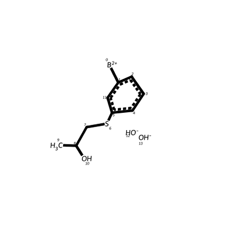 [B+2]c1cccc(SCC(C)O)c1.[OH-].[OH-]